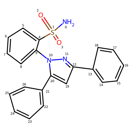 NS(=O)(=O)c1ccccc1-n1nc(-c2ccccc2)cc1-c1ccccc1